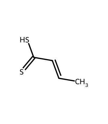 CC=CC(=S)S